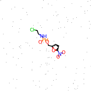 O=[N+]([O-])c1ccc(CO[PH](=O)NCCCl)o1